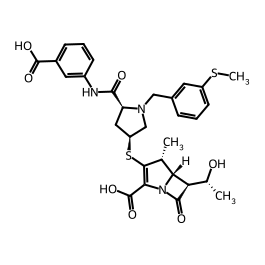 CSc1cccc(CN2C[C@@H](SC3=C(C(=O)O)N4C(=O)[C@H]([C@@H](C)O)[C@H]4[C@H]3C)C[C@H]2C(=O)Nc2cccc(C(=O)O)c2)c1